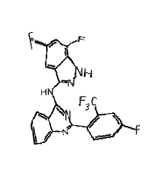 Fc1ccc(-c2nc(Nc3n[nH]c4c(F)cc(F)cc34)c3ccccc3n2)c(C(F)(F)F)c1